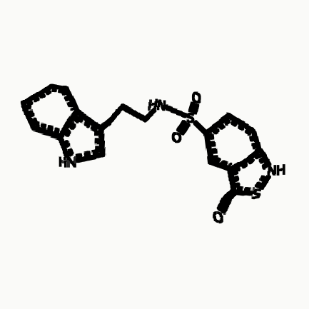 O=c1s[nH]c2ccc(S(=O)(=O)NCCc3c[nH]c4ccccc34)cc12